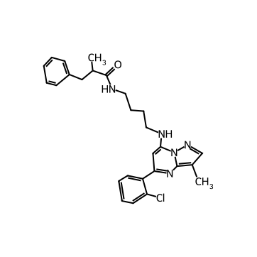 Cc1cnn2c(NCCCCNC(=O)C(C)Cc3ccccc3)cc(-c3ccccc3Cl)nc12